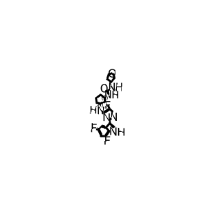 O=C(NC1CCOC1)N[C@H]1CCC[C@@H](Nc2nc(-c3c[nH]c4c(F)cc(F)cc34)ncc2F)C1